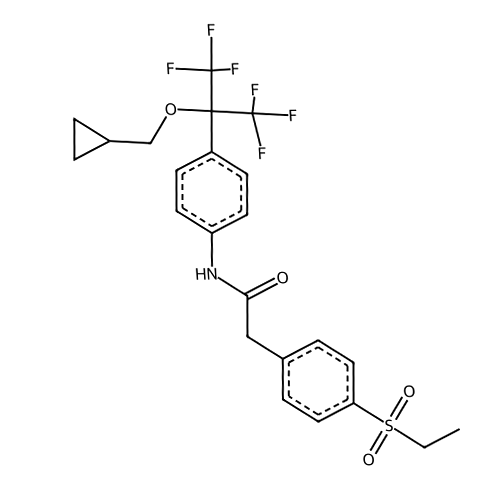 CCS(=O)(=O)c1ccc(CC(=O)Nc2ccc(C(OCC3CC3)(C(F)(F)F)C(F)(F)F)cc2)cc1